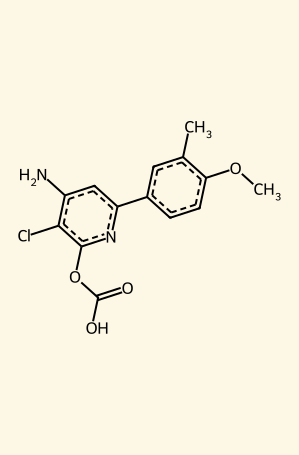 COc1ccc(-c2cc(N)c(Cl)c(OC(=O)O)n2)cc1C